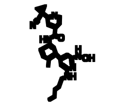 CCCCCNc1cc(-c2cc(NC(=O)c3ccnc(C4(C#N)CC4)c3)ccc2C)cc(NO)n1